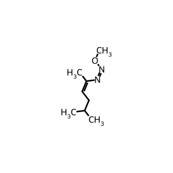 CO/N=N\C(C)=C/CC(C)C